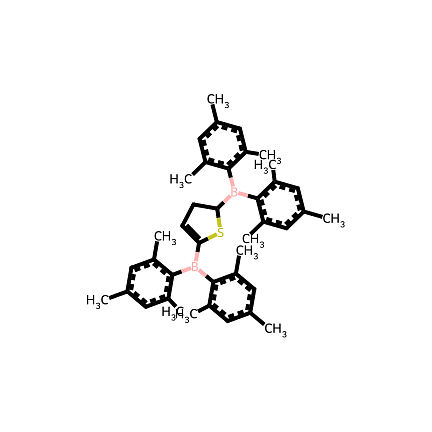 Cc1cc(C)c(B(C2=CCC(B(c3c(C)cc(C)cc3C)c3c(C)cc(C)cc3C)S2)c2c(C)cc(C)cc2C)c(C)c1